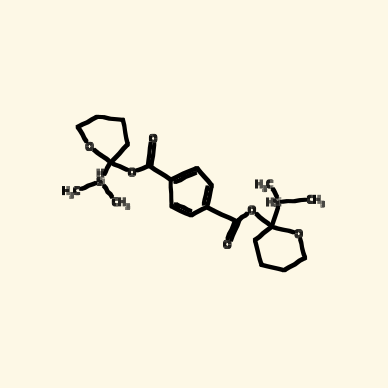 C[SiH](C)C1(OC(=O)c2ccc(C(=O)OC3([SiH](C)C)CCCCO3)cc2)CCCCO1